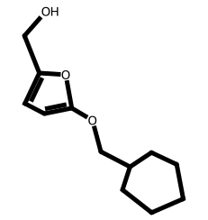 OCc1ccc(OCC2CCCCC2)o1